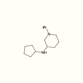 CC(C)N1CCCC(NC2CCCC2)C1